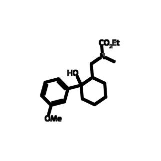 CCOC(=O)N(C)CC1CCCCC1(O)c1cccc(OC)c1